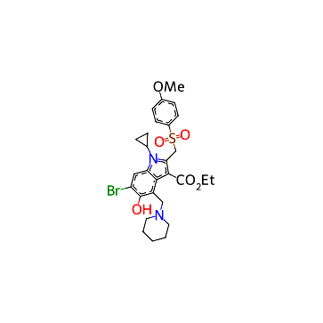 CCOC(=O)c1c(CS(=O)(=O)c2ccc(OC)cc2)n(C2CC2)c2cc(Br)c(O)c(CN3CCCCC3)c12